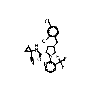 N#CC1(NC(=O)[C@@H]2C[C@@H](Cc3ccc(Cl)cc3Cl)CN2c2ncccc2C(F)(F)F)CC1